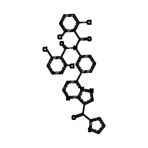 O=C(c1cccs1)c1cnn2c(-c3cccc(N(C(=O)c4c(Cl)cccc4Cl)C(=O)c4c(Cl)cccc4Cl)c3)ccnc12